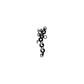 O=CC1CCN(C2CCN(c3cc4c(cc3F)C(=O)N(C3CCC(=O)NC3=O)C4=O)CC2)CC1